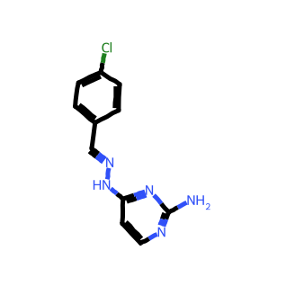 Nc1nccc(N/N=C/c2ccc(Cl)cc2)n1